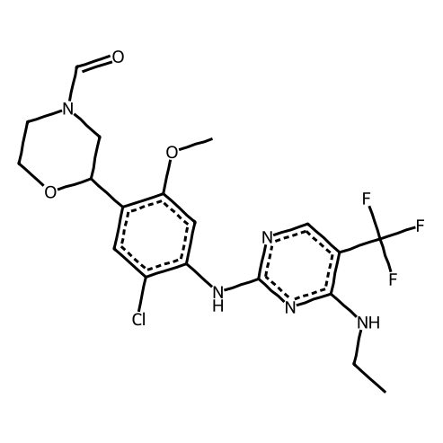 CCNc1nc(Nc2cc(OC)c(C3CN(C=O)CCO3)cc2Cl)ncc1C(F)(F)F